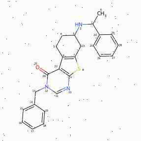 CC(NC1CCc2c(sc3ncn(Cc4ccccc4)c(=O)c23)C1)c1ccccc1